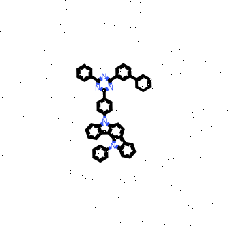 C1=CCCC(c2cccc(-c3nc(-c4ccccc4)nc(-c4ccc(-n5c6ccccc6c6c5ccc5c7ccccc7n(-c7ccccc7)c56)cc4)n3)c2)=C1